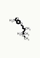 CCOC(C)(C)CC/C(C)=C/CCOc1ccc2c(c1)OCC2C